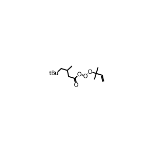 C=CC(C)(C)OOOC(=O)CC(C)CC(C)(C)C